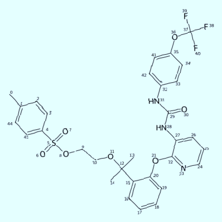 Cc1ccc(S(=O)(=O)OCCOC(C)(C)c2ccccc2Oc2ncccc2NC(=O)Nc2ccc(OC(F)(F)F)cc2)cc1